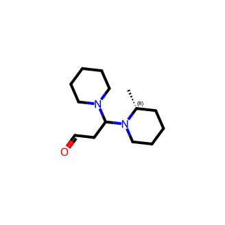 C[C@@H]1CCCCN1C(CC=O)N1CCCCC1